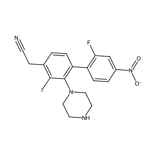 N#CCc1ccc(-c2ccc([N+](=O)[O-])cc2F)c(N2CCNCC2)c1I